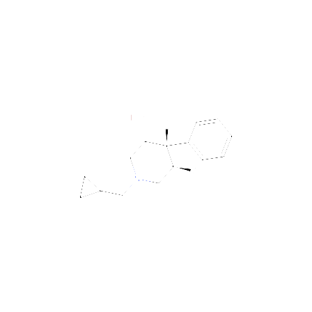 Br.C[C@H]1CN(CC2CC2)CC[C@]1(C)c1ccccc1